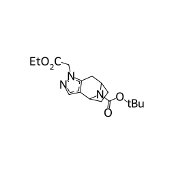 CCOC(=O)Cn1ncc2c1CC1CCC2N1C(=O)OC(C)(C)C